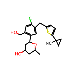 CC1CC(O)CC(c2cc(Cc3ccc(C4(C#N)CC4)s3)c(Cl)cc2CO)O1